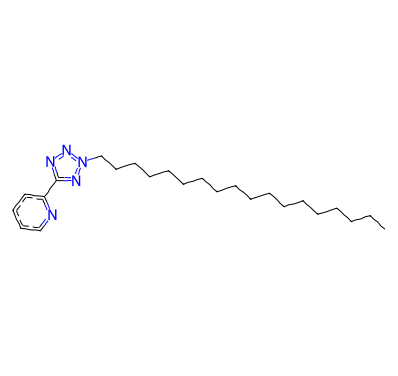 CCCCCCCCCCCCCCCCCCn1nnc(-c2ccccn2)n1